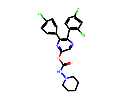 O=C(NN1CCCCC1)Oc1cnc(-c2ccc(Cl)cc2Cl)c(-c2ccc(Cl)cc2)n1